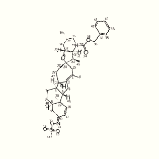 CC1=C2C[C@H]3[C@@H](CC[C@@H]4CC(=NOS(C)(=O)=O)C=C[C@@]43C)[C@@H]2CC[C@@]2(C1)O[C@@H]1C[C@H](C)CN(C(=O)OCc3ccccc3)[C@H]1[C@H]2C